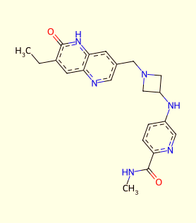 CCc1cc2ncc(CN3CC(Nc4ccc(C(=O)NC)nc4)C3)cc2[nH]c1=O